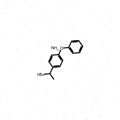 CCCCC(C)c1ccc(Oc2ccccc2)cc1.N